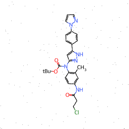 Cc1cc(NC(=O)CCCl)ccc1N(C(=O)OC(C)(C)C)c1cc(-c2ccc(-n3cccn3)cc2)[nH]n1